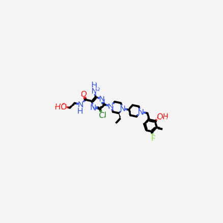 CC[C@H]1CN(c2nc(N)c(C(=O)NCCO)nc2Cl)CCN1C1CCN(Cc2ccc(F)c(C)c2O)CC1